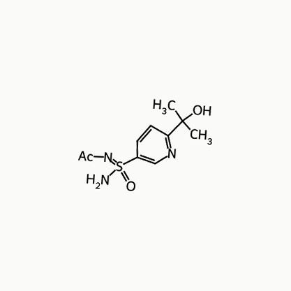 CC(=O)N=S(N)(=O)c1ccc(C(C)(C)O)nc1